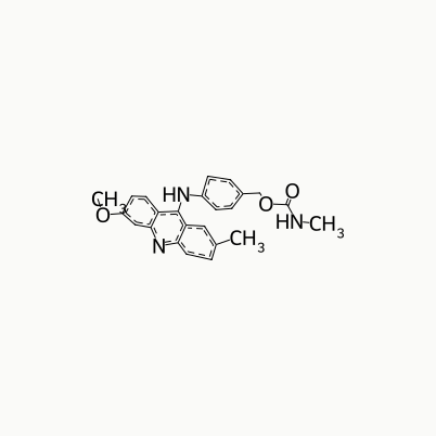 CNC(=O)OCc1ccc(Nc2c3ccc(OC)cc3nc3ccc(C)cc23)cc1